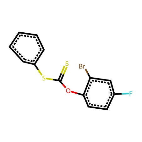 Fc1ccc(OC(=S)Sc2ccccc2)c(Br)c1